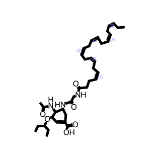 CC/C=C\C/C=C\C/C=C\C/C=C\C/C=C\C/C=C\CCC(=O)NCC(=O)NC1CC(C(=O)O)=CC(OC(CC)CC)C1NC(C)=O